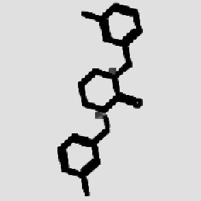 Cc1cccc(C[C@@H]2CCC[C@@H](Cc3cccc(C)c3)C2=O)c1